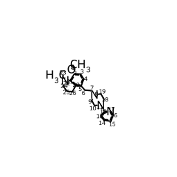 COc1ccc(CCN2CCN(c3ccccn3)CC2)c2c1N(C)CCC2